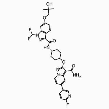 CC(C)(O)COc1ccc2c(C(=O)N[C@H]3CC[C@H](Oc4nn5ccc(-c6ccc(F)nc6)cc5c4C(N)=O)CC3)nn(C(F)F)c2c1